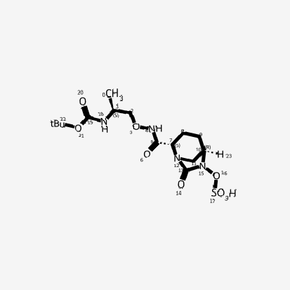 C[C@@H](CONC(=O)[C@@H]1CC[C@@H]2CN1C(=O)N2OS(=O)(=O)O)NC(=O)OC(C)(C)C